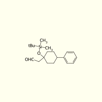 CC(C)(C)[Si](C)(C)OC1(CC=O)CCC(c2ccccc2)CC1